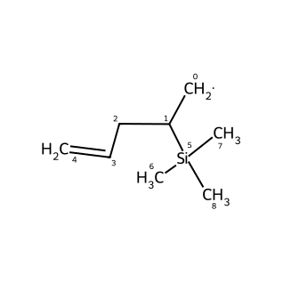 [CH2]C(CC=C)[Si](C)(C)C